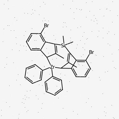 CC1=C2c3c(Br)cccc3[CH]1[Zr]([c]1ccccc1)([c]1ccccc1)[CH]1C(C)=C(c3c(Br)cccc31)[Si]2(C)C